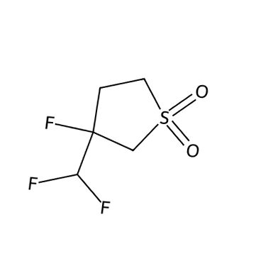 O=S1(=O)CCC(F)(C(F)F)C1